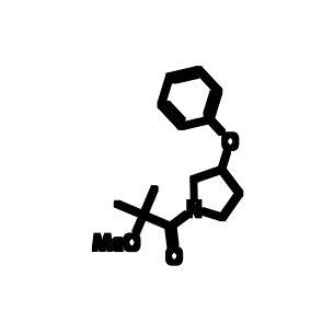 COC(C)(C)C(=O)N1CCC(Oc2ccccc2)C1